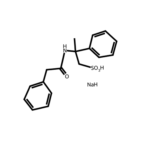 CC(CS(=O)(=O)O)(NC(=O)Cc1ccccc1)c1ccccc1.[NaH]